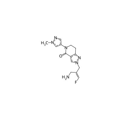 Cn1cc(N2CCc3nn(C/C(=C/F)CN)cc3C2=O)cn1